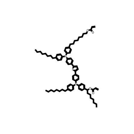 C=CC(=O)OCCCCCCCCc1ccc(N(c2ccc(CCCCCCCC)cc2)c2ccc(-c3ccc(-c4ccc(N(c5ccc(CCCCCCCC)cc5)c5ccc(C(CCCCCCC)OC(=O)C=C)cc5)cc4)s3)cc2)cc1